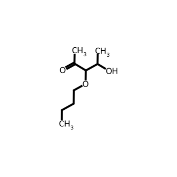 CCCCOC(C(C)=O)C(C)O